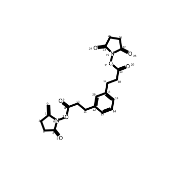 C=C1CCC(=O)N1OC(=O)CCc1cccc(CCC(=O)ON2C(=O)CCC2=O)c1